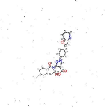 CC1CCC(C(=O)N(c2nn(-c3ccc(-c4cc5ncccc5o4)cc3)cc2C(=O)O)C(C)C)CC1